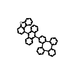 c1ccc2c(c1)-c1ccccc1-c1ccc(-c3c4ccccc4c(-c4cccc5oc6ccccc6c45)c4ccccc34)cc1-c1ccccc1-2